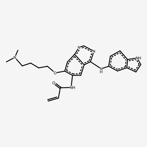 C=CC(=O)Nc1cc2c(Nc3ccc4[nH]ccc4c3)ncnc2cc1OCCCCN(C)C